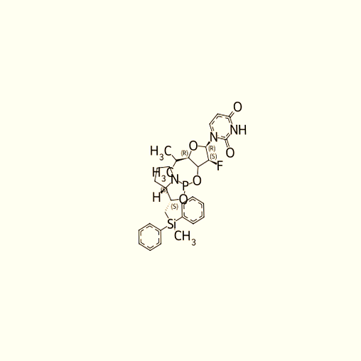 CC(C)[C@H]1O[C@@H](n2ccc(=O)[nH]c2=O)[C@@H](F)C1OP1O[C@H](C[Si](C)(c2ccccc2)c2ccccc2)[C@@H]2CCCN21